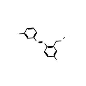 COCc1cc(N)ccc1/N=N/c1cccc(N)c1